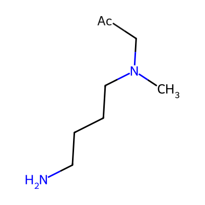 CC(=O)CN(C)CCCCN